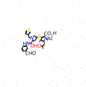 CC(=O)N1C(C(=O)O)=C(S[C@H]2C[C@@H](C(=O)Nc3cccc(C=O)c3)N(Cc3ccsc3)C2)[C@H](C)[C@@H]1C[C@@H](C)O